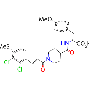 COc1ccc(CC(NC(=O)C2CCN(C(=O)C=Cc3ccc(SC)c(Cl)c3Cl)CC2)C(=O)O)cc1